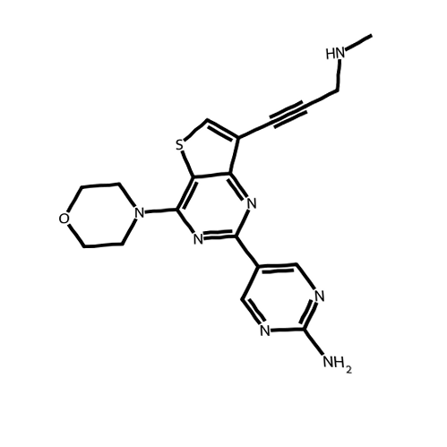 CNCC#Cc1csc2c(N3CCOCC3)nc(-c3cnc(N)nc3)nc12